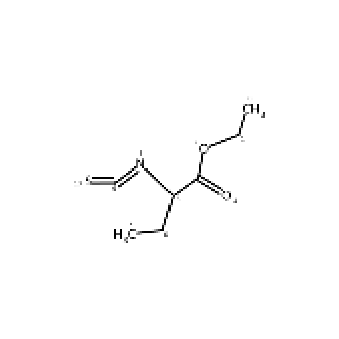 CCOC(=O)C(CC)N=C=S